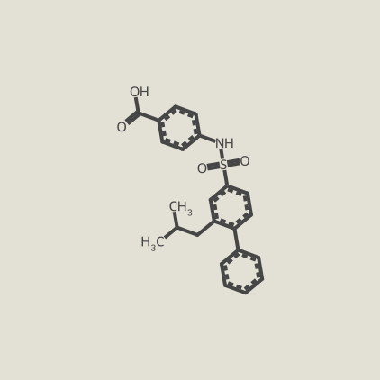 CC(C)Cc1cc(S(=O)(=O)Nc2ccc(C(=O)O)cc2)ccc1-c1ccccc1